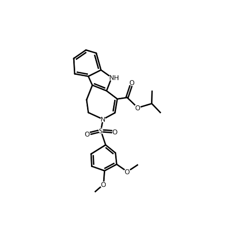 COc1ccc(S(=O)(=O)N2C=C(C(=O)OC(C)C)c3[nH]c4ccccc4c3CC2)cc1OC